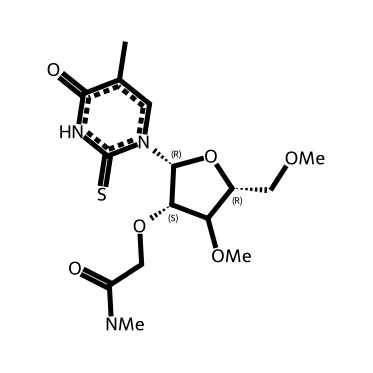 CNC(=O)CO[C@H]1C(OC)[C@@H](COC)O[C@H]1n1cc(C)c(=O)[nH]c1=S